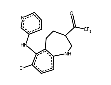 O=C(C1CCc2c(ccc(Cl)c2Nc2cccnc2)NC1)C(F)(F)F